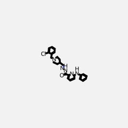 O=C(N/N=C/C1CCN(Cc2ccccc2Cl)CC1)c1cccc(Nc2ccccc2)n1